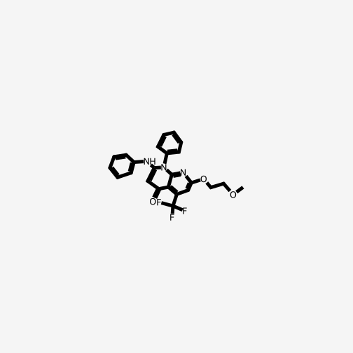 COCCOc1cc(C(F)(F)F)c2c(=O)cc(Nc3ccccc3)n(-c3ccccc3)c2n1